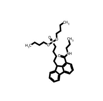 CCCCOP(=O)(CCCCC1c2ccccc2-c2cccc(C(=O)NCCC)c21)OCCCC